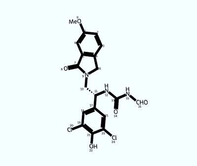 COc1ccc2c(c1)C(=O)N(C[C@H](NC(=O)NC=O)c1cc(Cl)c(O)c(Cl)c1)C2